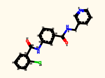 O=C(NCc1cccnc1)c1cccc(NC(=O)c2ccccc2Cl)c1